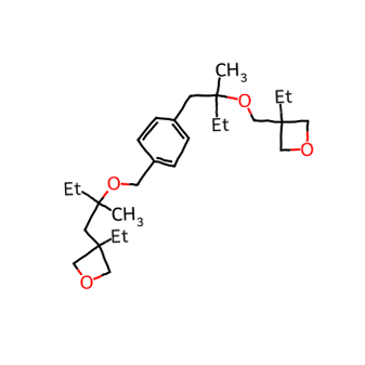 CCC1(COC(C)(CC)Cc2ccc(COC(C)(CC)CC3(CC)COC3)cc2)COC1